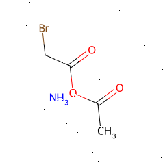 CC(=O)OC(=O)CBr.N